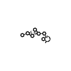 C=C1/C=C\C=C/CN(c2cccc(-c3ccc4c(c3)c3ccccc3n4-c3cccc4c3sc3ccc(-c5ccccc5)cc34)c2)c2ccccc21